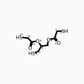 O=C(CS)OCC(CS)OC(=O)CS